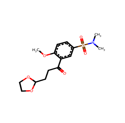 COc1ccc(S(=O)(=O)N(C)C)cc1C(=O)CCC1OCCO1